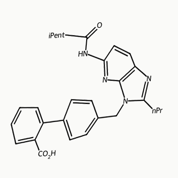 CCCc1nc2ccc(NC(=O)C(C)CCC)nc2n1Cc1ccc(-c2ccccc2C(=O)O)cc1